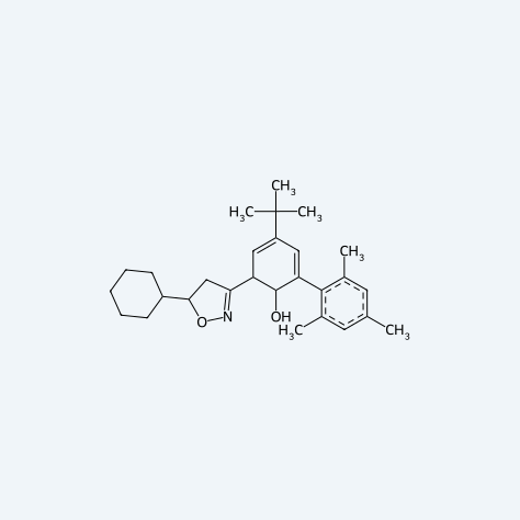 Cc1cc(C)c(C2=CC(C(C)(C)C)=CC(C3=NOC(C4CCCCC4)C3)C2O)c(C)c1